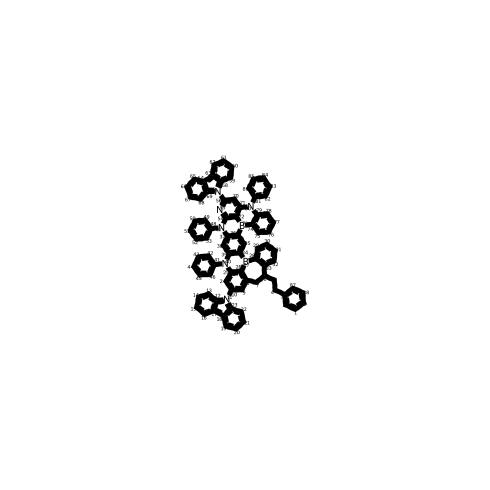 c1ccc(CCC2Cc3cc(-n4c5ccccc5c5ccccc54)cc4c3B(c3ccccc32)c2cc3c(cc2N4c2ccccc2)N(c2ccccc2)c2nc(-n4c5ccccc5c5ccccc54)cc4c2B3c2ccccc2N4c2ccccc2)cc1